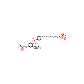 CCC(=O)/C=C/c1ccc(OC(=O)c2ccc(CCCCCCCCCOS(C)(=O)=O)cc2)c(OC)c1